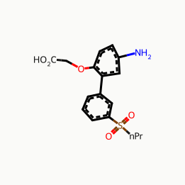 CCCS(=O)(=O)c1cccc(-c2cc(N)ccc2OCC(=O)O)c1